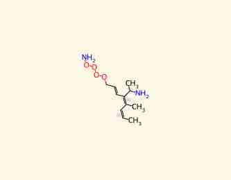 C/C=C\C(C)=C(/C=CCOOOON)C(C)N